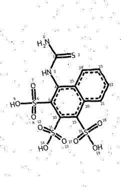 NC(=S)Nc1c(S(=O)(=O)O)c(S(=O)(=O)O)c(S(=O)(=O)O)c2ccccc12